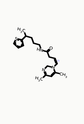 CC1=CC(C)=NCN1/C=C\CC(=O)NCCCC(C)c1cccs1